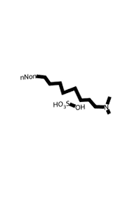 CCCCCCCCCCCCCCCCCN(C)C.O=S(=O)(O)O